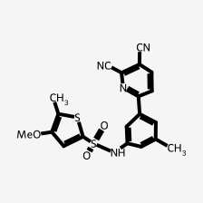 COc1cc(S(=O)(=O)Nc2cc(C)cc(-c3ccc(C#N)c(C#N)n3)c2)sc1C